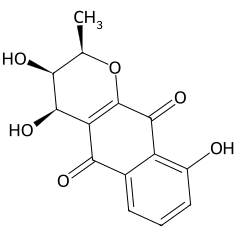 C[C@H]1OC2=C(C(=O)c3cccc(O)c3C2=O)[C@@H](O)[C@H]1O